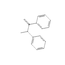 C=C(c1ccccc1)C(C)c1ccccc1